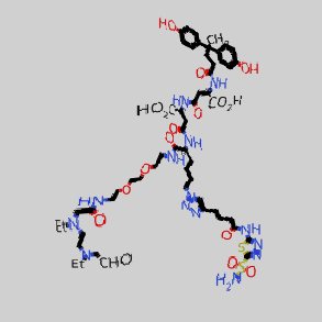 CCN(CC=O)CCN(CC)CC(=O)NCCOCCOCCNC(=O)[C@H](CCCCn1cc(CCCC(=O)Nc2nnc(S(N)(=O)=O)s2)nn1)NC(=O)C[C@H](NC(=O)C[C@H](NC(=O)CCC(C)(c1ccc(O)cc1)c1ccc(O)cc1)C(=O)O)C(=O)O